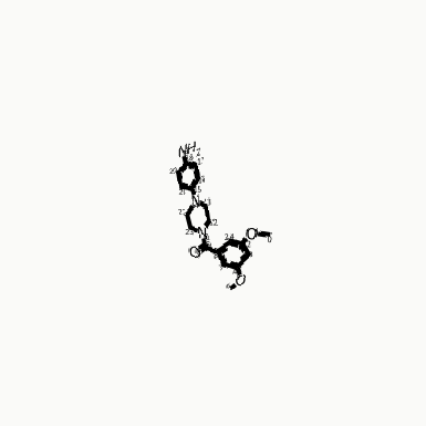 COc1cc(OC)cc(C(=O)N2CCN(c3ccc(N)cc3)CC2)c1